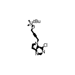 CC(C)(C)[Si](C)(C)OCC#CCn1ccc2ncnc(Cl)c21